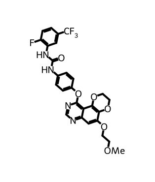 COCCOc1cc2ncnc(Oc3ccc(NC(=O)Nc4cc(C(F)(F)F)ccc4F)cc3)c2c2c1OCCO2